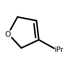 CC(C)C1=CCOC1